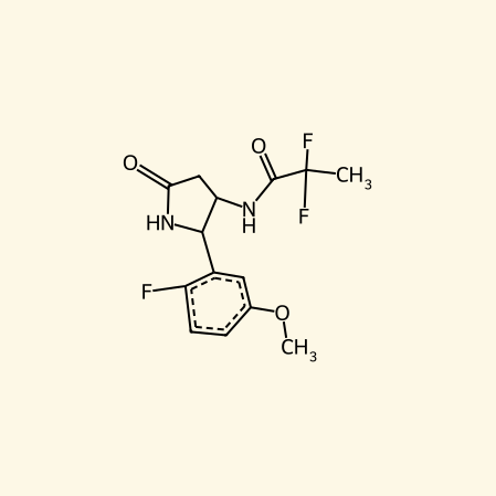 COc1ccc(F)c(C2NC(=O)CC2NC(=O)C(C)(F)F)c1